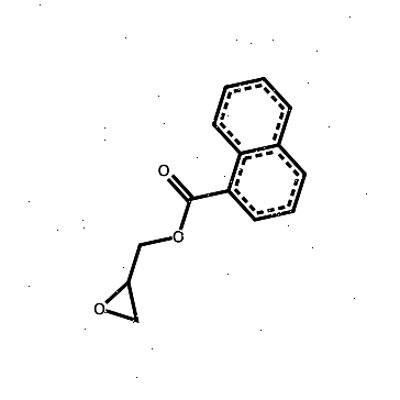 O=C(OCC1CO1)c1cccc2ccccc12